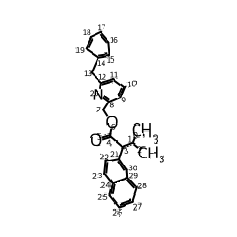 CC(C)C(C(=O)OCc1cccc(Cc2ccccc2)n1)c1ccc2ccccc2c1